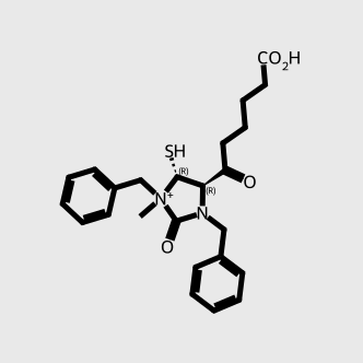 C[N+]1(Cc2ccccc2)C(=O)N(Cc2ccccc2)[C@H](C(=O)CCCCC(=O)O)[C@H]1S